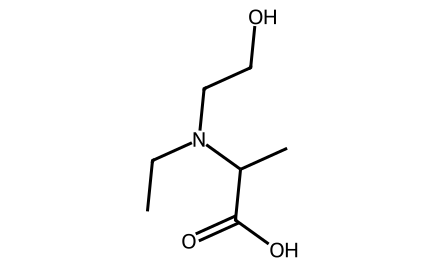 CCN(CCO)C(C)C(=O)O